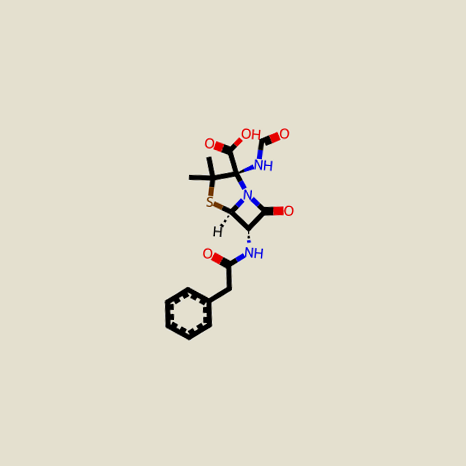 CC1(C)S[C@@H]2[C@@H](NC(=O)Cc3ccccc3)C(=O)N2[C@@]1(NC=O)C(=O)O